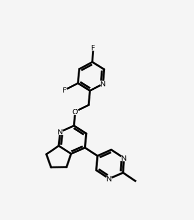 Cc1ncc(-c2cc(OCc3ncc(F)cc3F)nc3c2CCC3)cn1